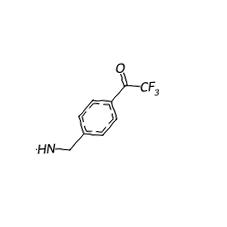 [NH]Cc1ccc(C(=O)C(F)(F)F)cc1